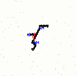 C=C(/C=C(\C)CCC=C(C)C)NCCCCCCC(CCCCCCC(=C)C(=N)/C=C(\C)CCC=C(C)C)OC(=O)CCCN(C)C